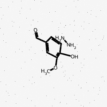 COc1cc(C=O)ccc1O.NN